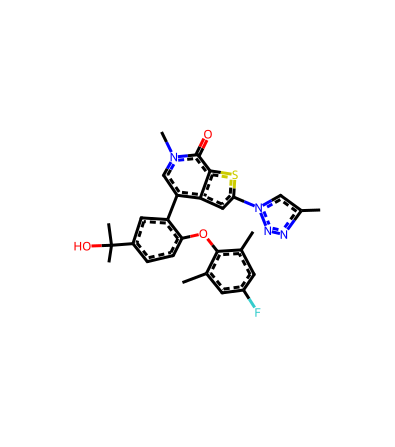 Cc1cn(-c2cc3c(-c4cc(C(C)(C)O)ccc4Oc4c(C)cc(F)cc4C)cn(C)c(=O)c3s2)nn1